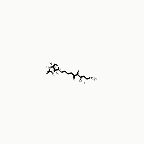 N[C@@H](CCC(=O)O)C(=O)C(=O)CCCC[C@@H]1SC[C@@H]2NC(=O)N[C@@H]21